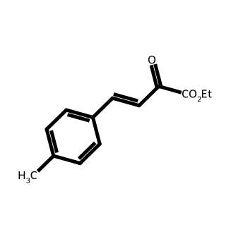 CCOC(=O)C(=O)/C=C/c1ccc(C)cc1